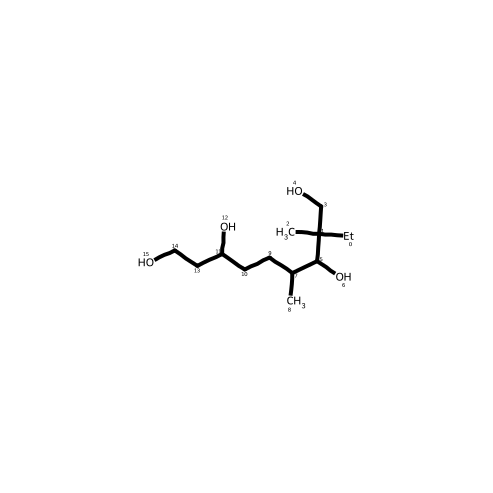 CCC(C)(CO)C(O)C(C)CCC(O)CCO